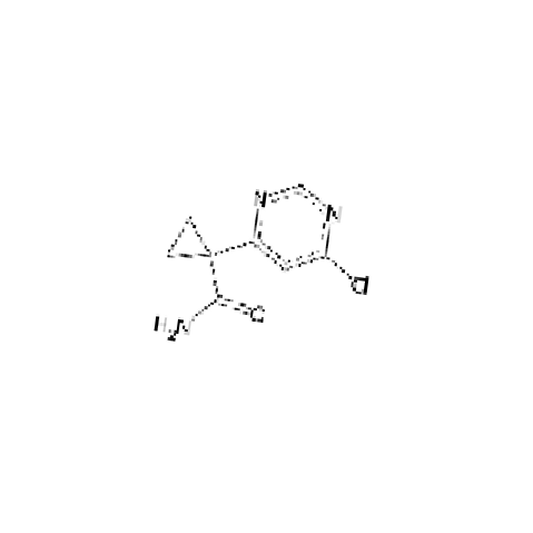 NC(=O)C1(c2cc(Cl)ncn2)CC1